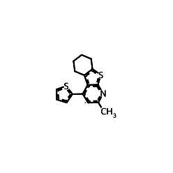 Cc1[c]c(-c2cccs2)c2c3c(sc2n1)CCCC3